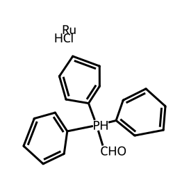 Cl.O=C[PH](c1ccccc1)(c1ccccc1)c1ccccc1.[Ru]